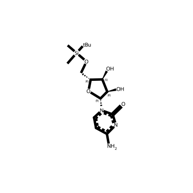 CC(C)(C)[Si](C)(C)OC[C@H]1O[C@@H](n2ccc(N)nc2=O)[C@H](O)[C@@H]1O